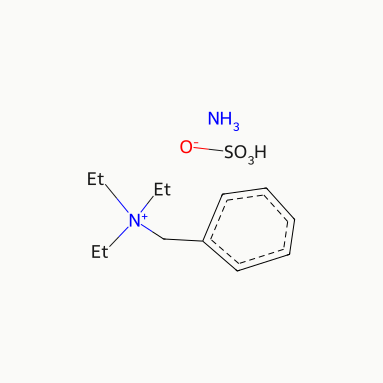 CC[N+](CC)(CC)Cc1ccccc1.N.O=S(=O)([O-])O